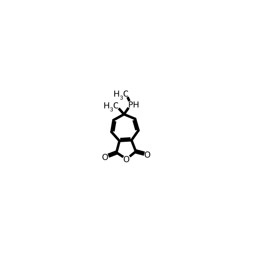 CPC1(C)C=CC2=C(C=C1)C(=O)OC2=O